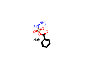 NNS(=O)(=O)OC(=O)c1ccccc1.[NaH]